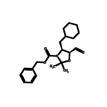 CC1(C)O[C@H](C=O)[C@H](CC2CCCCC2)N1C(=O)OCc1ccccc1